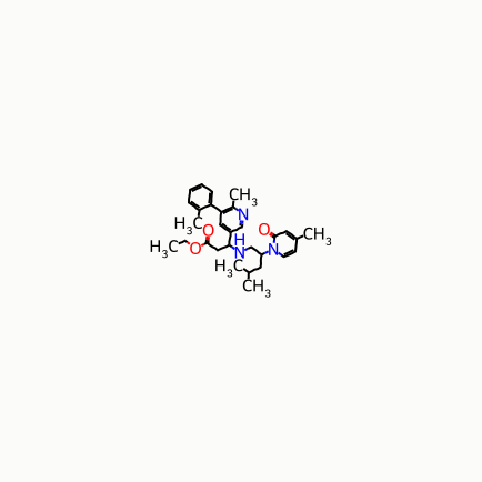 CCOC(=O)CC(NCC(CC(C)C)n1ccc(C)cc1=O)c1cnc(C)c(-c2ccccc2C)c1